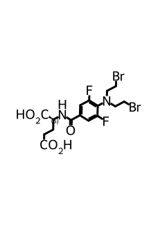 O=C(O)CC[C@H](NC(=O)c1cc(F)c(N(CCBr)CCBr)c(F)c1)C(=O)O